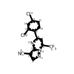 N#Cc1cnn2c(C(F)(F)F)cc(-c3ccc(Cl)cc3Cl)nc12